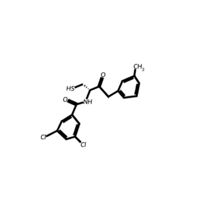 Cc1cccc([CH]C(=O)[C@@H](CS)NC(=O)c2cc(Cl)cc(Cl)c2)c1